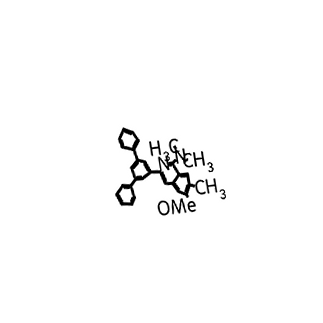 COc1cc2cc(-c3cc(-c4ccccc4)cc(-c4ccccc4)c3)nc(N(C)C)c2cc1C